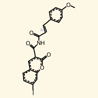 COc1ccc(/C=C/C(=O)NC(=O)c2cc3ccc(I)cc3oc2=O)cc1